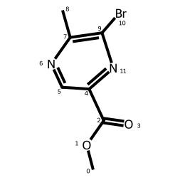 COC(=O)c1cnc(C)c(Br)n1